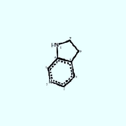 [c]1cncc2c1CCN2